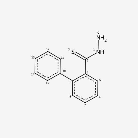 NNC(=S)c1ccccc1-c1ccccc1